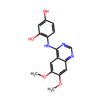 COc1cc2ncnc(Nc3ccc(O)cc3O)c2cc1OC